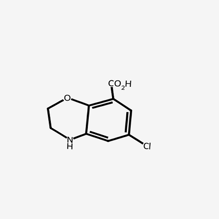 O=C(O)c1cc(Cl)cc2c1OCCN2